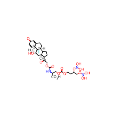 C[C@]12C[C@H](O)C3(F)[C@@H](CCC4=CC(=O)C=C[C@@]43C)C1CCC2C(=O)COC(=O)NC(COC(=O)OCCC(CON(O)O)ON(O)O)C(=O)O